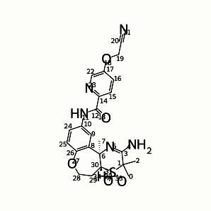 CC1(C)C(N)=N[C@]2(C)c3cc(NC(=O)c4ccc(OCC#N)cn4)ccc3OCC[C@H]2S1(=O)=O